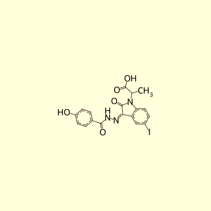 CC(C(=O)O)N1C(=O)C(=NNC(=O)c2ccc(O)cc2)c2cc(I)ccc21